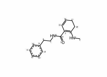 CNC1=C(C(=O)NCCc2ccccc2)C=CCC1